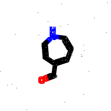 O=[C]C1=CC=CNC=C1